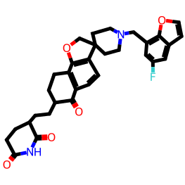 O=C1CCC(CCC2CCc3c(ccc4c3OCC43CCN(Cc4cc(F)cc5ccoc45)CC3)C2=O)C(=O)N1